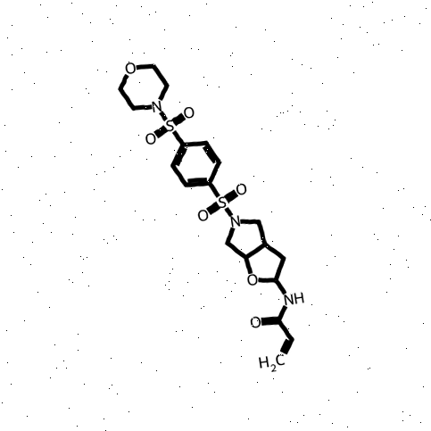 C=CC(=O)NC1CC2CN(S(=O)(=O)c3ccc(S(=O)(=O)N4CCOCC4)cc3)CC2O1